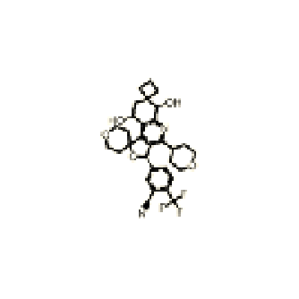 N#Cc1cc([C@H]2OC3(CCOCC3)c3c2c(C2CCOCC2)nc2c3[C@@H](O)CC3(CCC3)[C@H]2O)ccc1C(F)(F)F